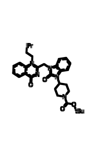 CC(C)CCn1c(Cn2c(=O)n(C3CCN(C(=O)OC(C)(C)C)CC3)c3ccccc32)nc(=O)c2ccccc21